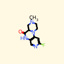 CN1CCN2c3cc(F)ncc3NC(=O)C2C1